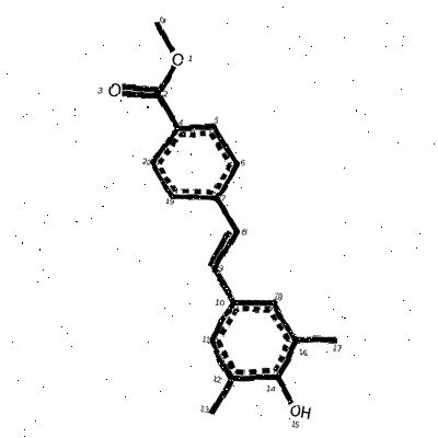 COC(=O)c1ccc(C=Cc2cc(C)c(O)c(C)c2)cc1